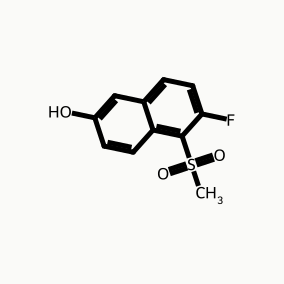 CS(=O)(=O)c1c(F)ccc2cc(O)ccc12